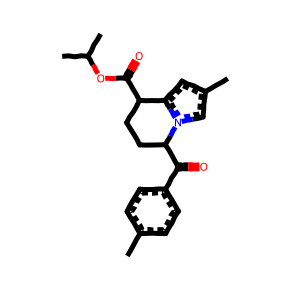 Cc1ccc(C(=O)C2CCC(C(=O)OC(C)C)c3cc(C)cn32)cc1